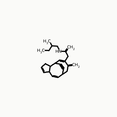 C=C(C/C1=C/C2C#CC(/C=C\C3C=CCC23)CC1=C)NCC(C)CC